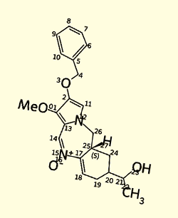 COc1c(OCc2ccccc2)cn2c1C=[N+]([O-])C1=CCC(C(C)O)C[C@H]1C2